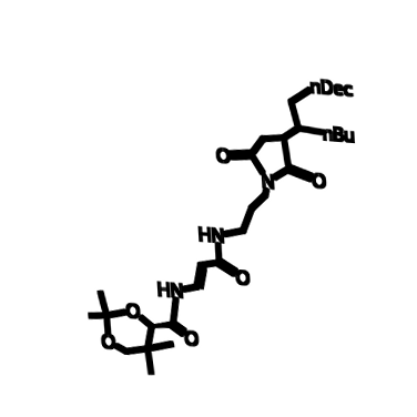 CCCCCCCCCCCC(CCCC)C1CC(=O)N(CCCNC(=O)/C=C/NC(=O)[C@@H]2OC(C)(C)OCC2(C)C)C1=O